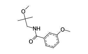 COc1cccc(C(=O)NCC(C)(C)OC)c1